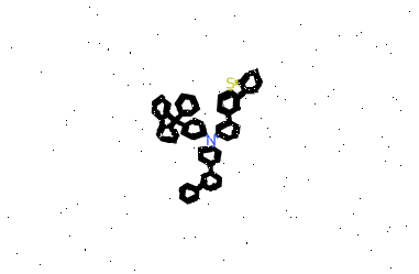 c1ccc(-c2cccc(-c3ccc(N(c4ccc(C5(c6ccccc6)c6ccccc6-c6ccccc65)cc4)c4cccc(-c5ccc6sc7ccccc7c6c5)c4)cc3)c2)cc1